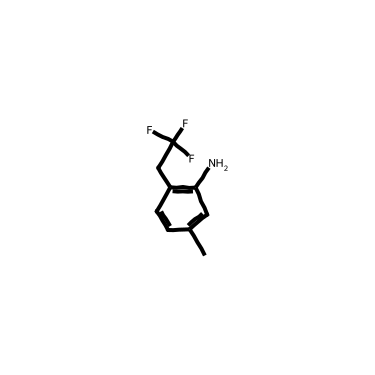 Cc1ccc(CC(F)(F)F)c(N)c1